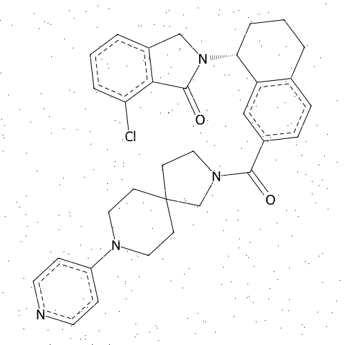 O=C(c1ccc2c(c1)[C@H](N1Cc3cccc(Cl)c3C1=O)CCC2)N1CCC2(CCN(c3ccncc3)CC2)C1